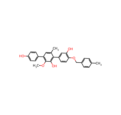 COc1c(-c2ccc(O)cc2)cc(C)c(-c2ccc(OCc3ccc(C)cc3)c(O)c2)c1O